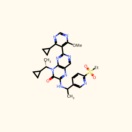 CCS(=O)(=O)c1ccc(C(C)Nc2nc3cnc(-c4c(OC)ncnc4C4CC4)nc3n([C@@H](C)C3CC3)c2=O)cn1